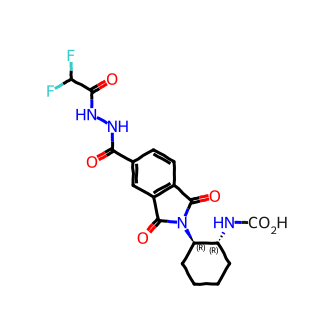 O=C(O)N[C@@H]1CCCC[C@H]1N1C(=O)c2ccc(C(=O)NNC(=O)C(F)F)cc2C1=O